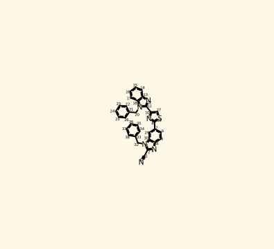 N#Cc1nc2ccc(-c3nc(-c4nc5ccccc5n4Cc4ccccc4)cs3)cc2n1Cc1ccccc1